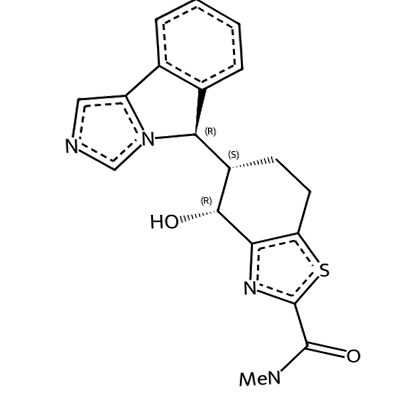 CNC(=O)c1nc2c(s1)CC[C@@H]([C@@H]1c3ccccc3-c3cncn31)[C@H]2O